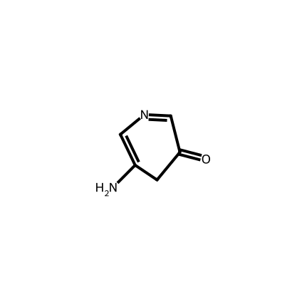 NC1=CN=CC(=O)C1